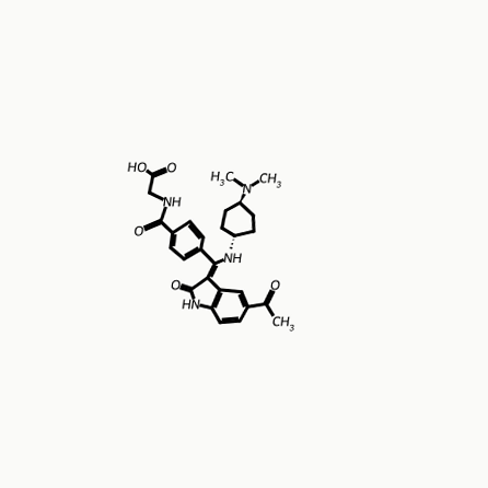 CC(=O)c1ccc2c(c1)C(=C(N[C@H]1CC[C@H](N(C)C)CC1)c1ccc(C(=O)NCC(=O)O)cc1)C(=O)N2